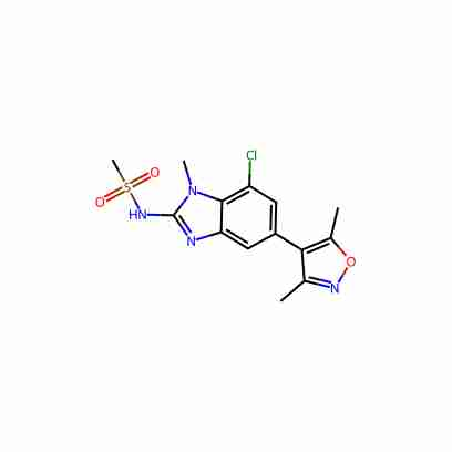 Cc1noc(C)c1-c1cc(Cl)c2c(c1)nc(NS(C)(=O)=O)n2C